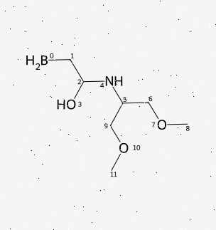 BCC(O)NC(COC)COC